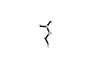 C[S+](C)OCF